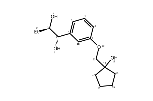 CC[C@@H](O)[C@@H](O)c1cccc(OCC2(O)CCCC2)c1